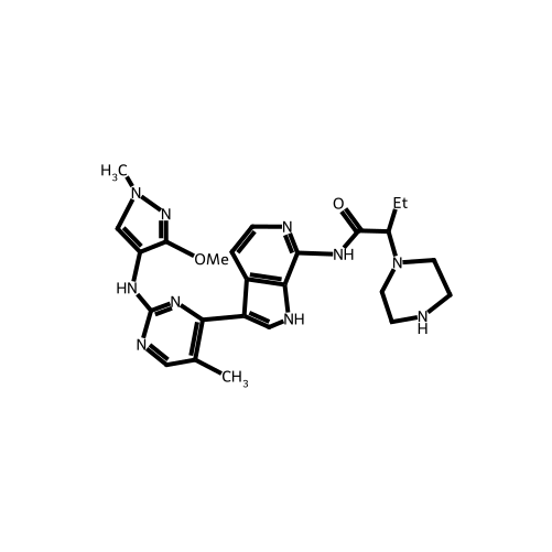 CCC(C(=O)Nc1nccc2c(-c3nc(Nc4cn(C)nc4OC)ncc3C)c[nH]c12)N1CCNCC1